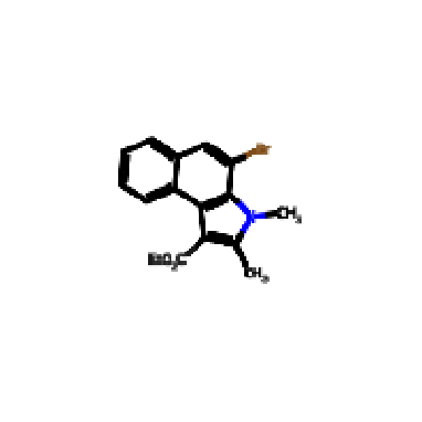 CCOC(=O)c1c(C)n(C)c2c(Br)cc3ccccc3c12